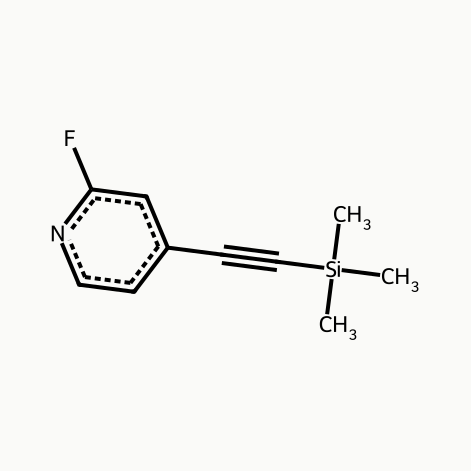 C[Si](C)(C)C#Cc1ccnc(F)c1